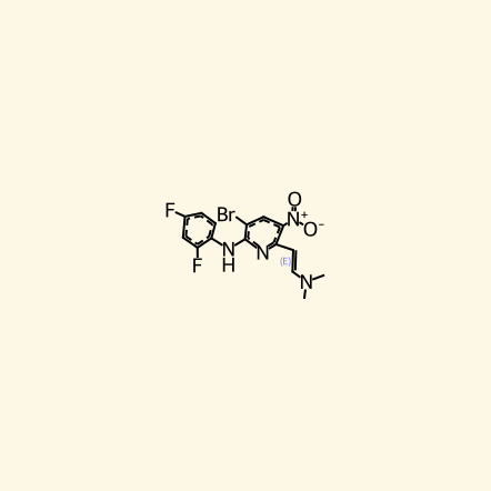 CN(C)/C=C/c1nc(Nc2ccc(F)cc2F)c(Br)cc1[N+](=O)[O-]